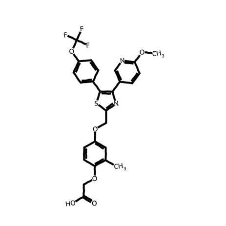 COc1ccc(-c2nc(COc3ccc(OCC(=O)O)c(C)c3)sc2-c2ccc(OC(F)(F)F)cc2)cn1